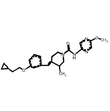 COc1cnc(NC(=O)N2CC/C(=C\c3cccc(OCCC4CC4)c3)C(C)C2)cn1